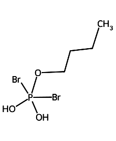 CCCCOP(O)(O)(Br)Br